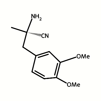 COc1ccc(C[C@@](C)(N)C#N)cc1OC